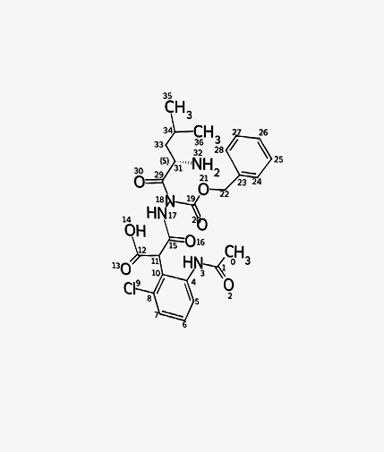 CC(=O)Nc1cccc(Cl)c1C(C(=O)O)C(=O)NN(C(=O)OCc1ccccc1)C(=O)[C@@H](N)CC(C)C